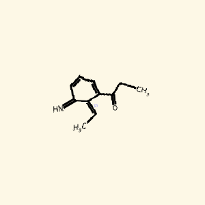 C/C=C1\C(=N)C=CC=C1C(=O)CC